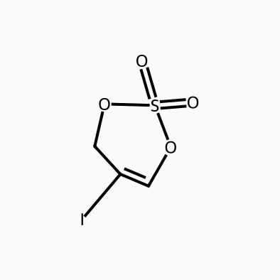 O=S1(=O)OC=C(I)CO1